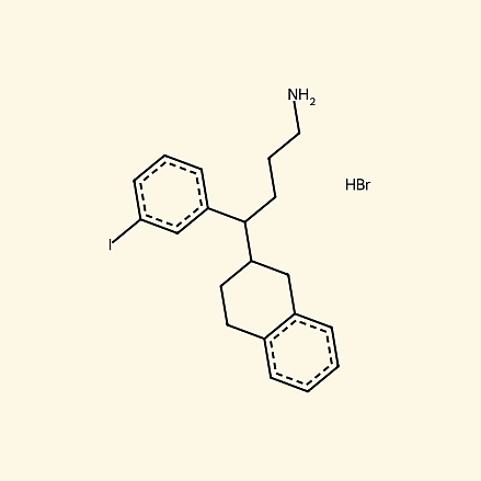 Br.NCCCC(c1cccc(I)c1)C1CCc2ccccc2C1